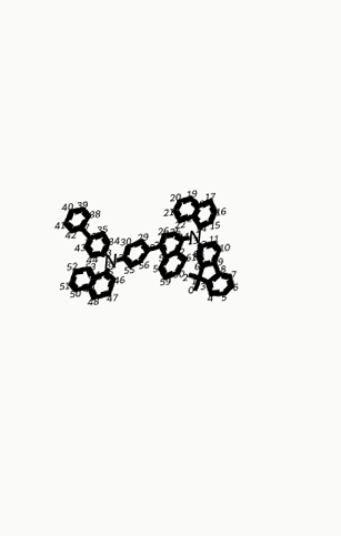 CC1(C)c2ccccc2-c2ccc(N(c3cccc4ccccc34)c3ccc(-c4ccc(N(c5ccc(-c6ccccc6)cc5)c5cccc6ccccc56)cc4)c4ccccc34)cc21